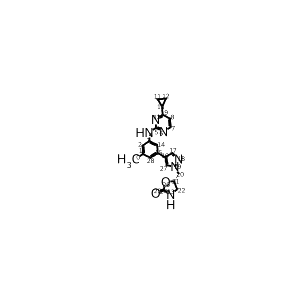 Cc1cc(Nc2nccc(C3CC3)n2)cc(-c2cnn(C[C@@H]3CNC(=O)O3)c2)c1